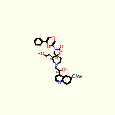 COc1ccc2nccc([C@H](O)CN3CC[C@]4(CN(C5=COC=C(C6=CC=CCC6)O5)C(=O)O4)[C@H](CCO)C3)c2c1